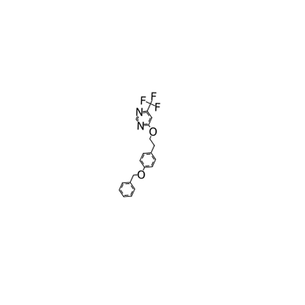 FC(F)(F)c1cc(OCCc2ccc(OCc3ccccc3)cc2)ncn1